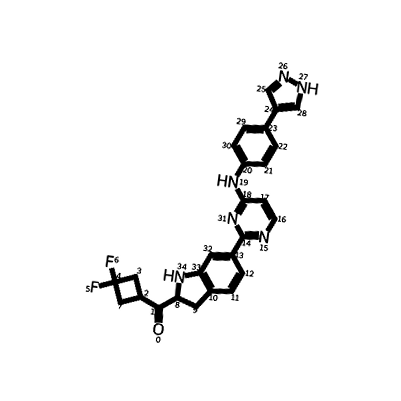 O=C(C1CC(F)(F)C1)C1Cc2ccc(-c3nccc(Nc4ccc(-c5cn[nH]c5)cc4)n3)cc2N1